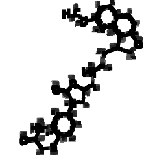 COc1ccc2ccc3c(c2n1)C(CCNCC1CN(c2ccc4c(c2)NC(=O)CS4)C(=O)O1)CO3